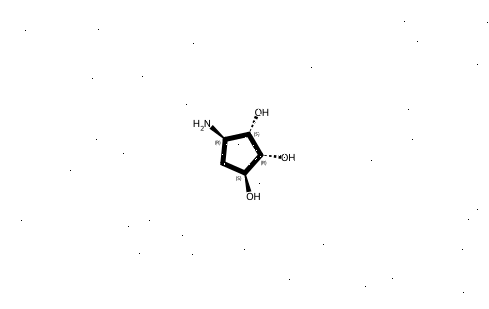 N[C@@H]1C[C@H](O)[C@@H](O)[C@H]1O